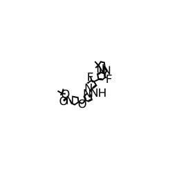 CC(C)(C)OC(=O)N1CCC(Oc2ccc(Nc3cc(-c4cc(F)c5nc6n(c5c4)C(C)(C)CC6)c(F)cn3)nc2)CC1